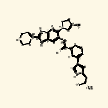 C[C@H](O)Cn1cc(-c2cccc(C(=O)Nc3cc4oc(N5CCOCC5)nc4nc3N3CC[C@@H](O)C3)n2)cn1